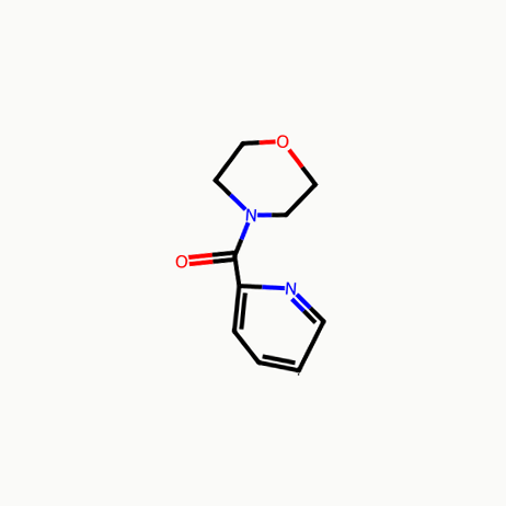 O=C(c1cc[c]cn1)N1CCOCC1